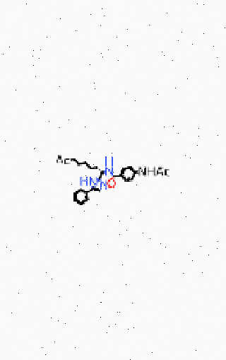 CC(=O)CCCCC[C@H](NC(=O)c1ccc(NC(C)=O)cc1)c1ncc(-c2ccccc2)[nH]1